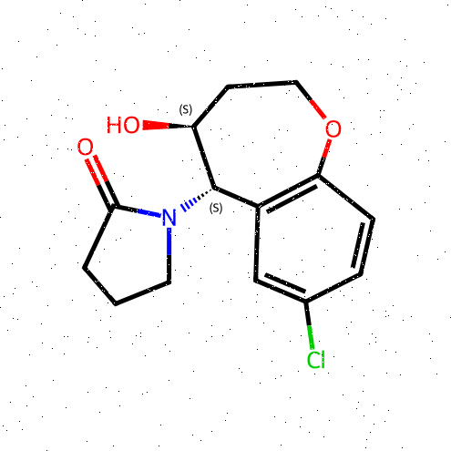 O=C1CCCN1[C@H]1c2cc(Cl)ccc2OCC[C@@H]1O